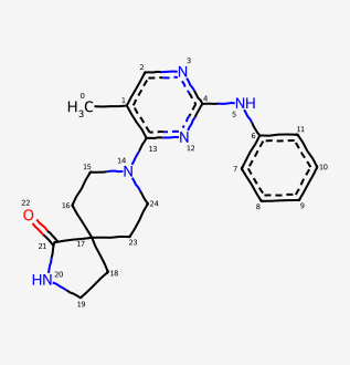 Cc1cnc(Nc2ccccc2)nc1N1CCC2(CCNC2=O)CC1